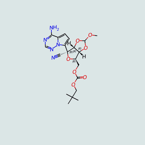 COC1O[C@H]2[C@@H](O1)[C@](C#N)(c1ccc3c(N)ncnn13)O[C@@H]2COC(=O)OCC(C)(C)C